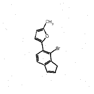 Cc1ccc(-c2ccc3c(c2Br)CC=C3)o1